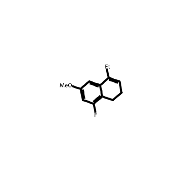 CCC1=CCCc2c(F)cc(OC)cc21